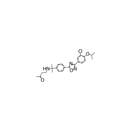 CC(=O)CCNC(C)(C)c1ccc(-c2nc(-c3ccc(OC(C)C)c(Cl)c3)no2)cc1